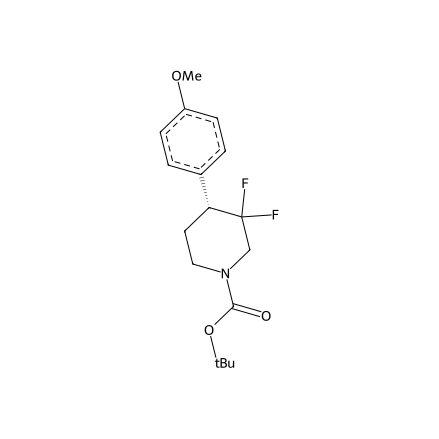 COc1ccc([C@H]2CCN(C(=O)OC(C)(C)C)CC2(F)F)cc1